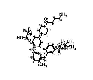 Cc1cnc(Nc2ccc(N3CCN(C(=O)CCCN)CC3)cc2)nc1Nc1cccc(S(=O)(=O)NC(C)(C)C)c1.O=C(O)C(F)(F)F